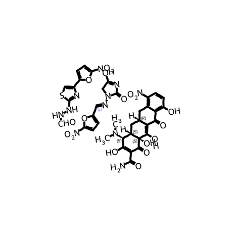 CN(C)[C@@H]1C(O)=C(C(N)=O)C(=O)[C@@]2(O)C(O)=C3C(=O)c4c(O)ccc([N+](=O)[O-])c4C[C@H]3C[C@@H]12.O=C1N=C(O)CN1/N=C/c1ccc([N+](=O)[O-])o1.O=CNNc1nc(-c2ccc([N+](=O)[O-])o2)cs1